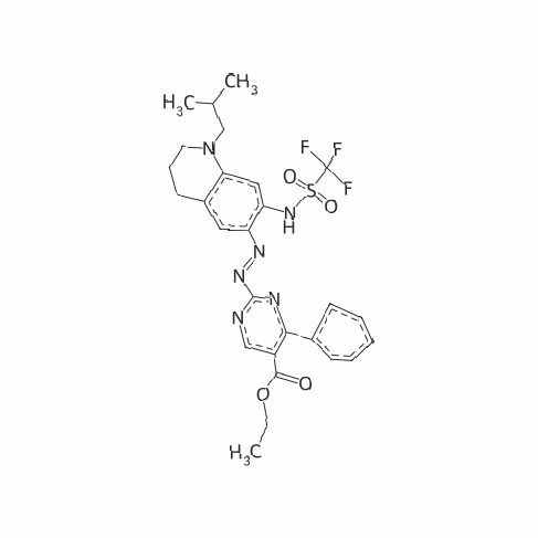 CCOC(=O)c1cnc(N=Nc2cc3c(cc2NS(=O)(=O)C(F)(F)F)N(CC(C)C)CCC3)nc1-c1ccccc1